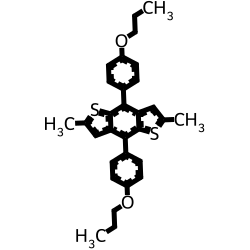 CCCOc1ccc(-c2c3cc(C)sc3c(-c3ccc(OCCC)cc3)c3cc(C)sc23)cc1